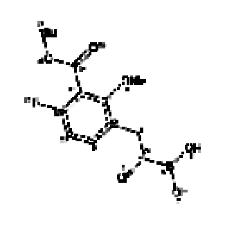 COc1c(C[C@@H](Cl)B(O)O)ccc(F)c1C(=O)OC(C)(C)C